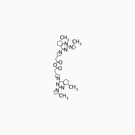 C[C@@H]1CCc2c1nc(N1CC[C@@H]1C)nc2N1CC(CC(=O)OC(=O)CC2CN(c3nc(N4CC[C@@H]4C)nc4c3CC[C@@H]4C)C2)C1